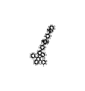 c1ccc(-c2c3c(c(-c4ccccc4)c4ccccc24)-c2ccc(-c4ccc(-c5cnc(-c6ccc(-c7cn8ccccc8n7)cc6)cn5)cc4)c4cccc-3c24)cc1